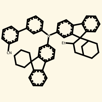 CCC1CC2CCCC(C2)C12c1ccccc1-c1ccc(N(c3cccc(-c4cccc(C#N)c4)c3)c3ccc4c(c3)C3(CCCCC3)c3ccccc3-4)cc12